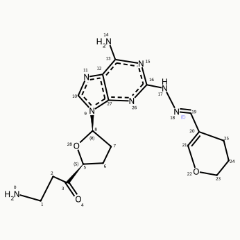 NCCC(=O)[C@@H]1CC[C@H](n2cnc3c(N)nc(N/N=C/C4=COCCC4)nc32)O1